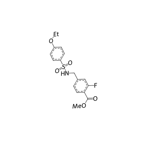 CCOc1ccc(S(=O)(=O)NCc2ccc(C(=O)OC)c(F)c2)cc1